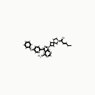 CC/C=C/C(=O)N1CC[C@]2(C1)C[C@H](n1nc(-c3ccc(Oc4ccccc4)cn3)c3c(N)ncnc31)C2